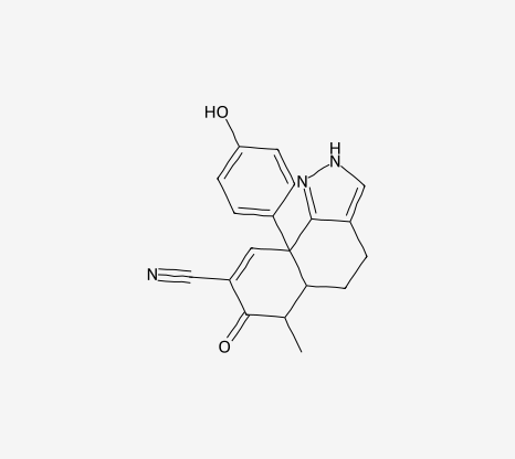 CC1C(=O)C(C#N)=CC2(c3ccc(O)cc3)c3n[nH]cc3CCC12